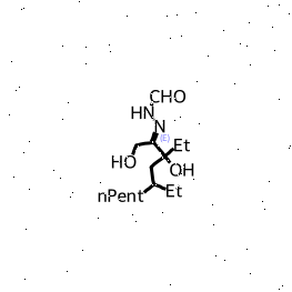 CCCCCC(CC)CC(O)(CC)/C(CO)=N/NC=O